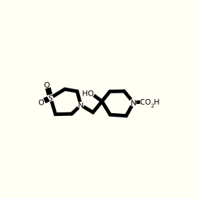 O=C(O)N1CCC(O)(CN2CCS(=O)(=O)CC2)CC1